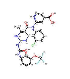 CC1=C(C(=O)Nc2cc(C(=O)O)ccn2)C(c2ccccc2Cl)N=C(Nc2nc3cccc(OC(F)(F)F)c3o2)N1